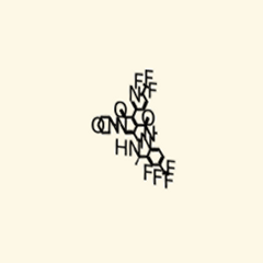 C[C@@H](Nc1nn(C)c(=O)c2c(-c3ccc(C(F)(F)F)nc3)c(=O)n(N3CCOCC3)cc12)c1cccc(C(F)(F)F)c1F